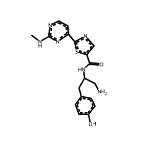 CNc1nccc(-c2ncc(C(=O)NC(CN)Cc3ccc(O)cc3)s2)n1